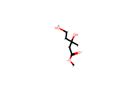 COC(=O)CC(C)(O)CCO